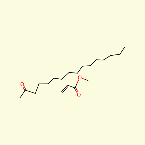 C=CC(=O)OC.CCCCCCCCCCCCCCC(C)=O